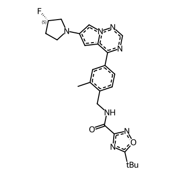 Cc1cc(-c2ncnn3cc(N4CC[C@H](F)C4)cc23)ccc1CNC(=O)c1noc(C(C)(C)C)n1